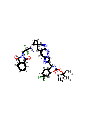 CC(C)(C)OC(=O)N[C@H](c1cn2ncc([C@H](NCC(F)(F)CN3C(=O)c4ccccc4C3=O)C3(C#N)CCC3)cc2n1)C1CCC(F)(F)CC1